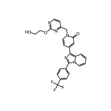 O=c1cc(-c2nc(-c3ccc(C(F)(F)F)cc3)n3ccccc23)ccn1Cc1ccnc(OCCO)n1